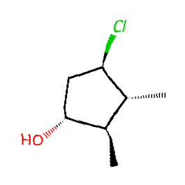 C[C@@H]1[C@@H](C)[C@H](Cl)C[C@H]1O